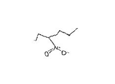 [CH2]CC(CCC)[N+](=O)[O-]